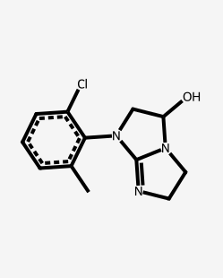 Cc1cccc(Cl)c1N1CC(O)N2CCN=C12